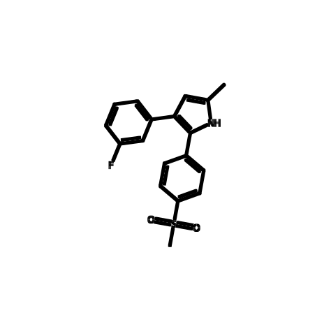 Cc1cc(-c2cccc(F)c2)c(-c2ccc(S(C)(=O)=O)cc2)[nH]1